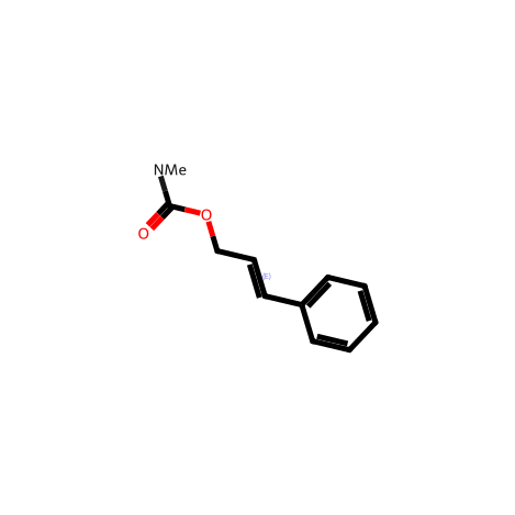 CNC(=O)OC/C=C/c1ccccc1